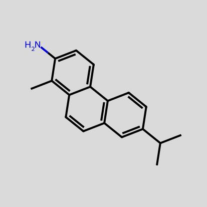 Cc1c(N)ccc2c1ccc1cc(C(C)C)ccc12